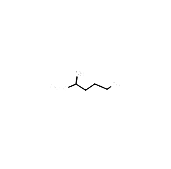 NC(CCCS)C(=O)O